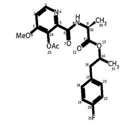 COc1ccnc(C(=O)N[C@@H](C)C(=O)OC(C)Cc2ccc(F)cc2)c1OC(C)=O